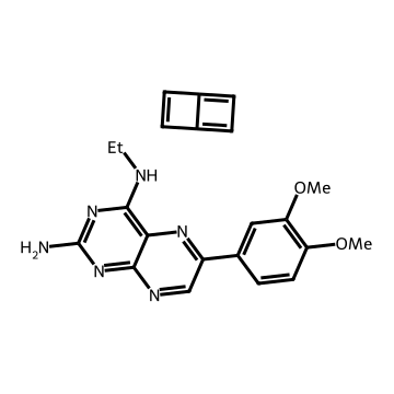 CCNc1nc(N)nc2ncc(-c3ccc(OC)c(OC)c3)nc12.c1cc2ccc1-2